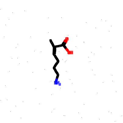 CC(=CCCCN)C(=O)O